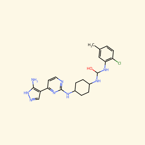 Cc1ccc(Cl)c(NC(O)NC2CCC(Nc3nccc(-c4cn[nH]c4N)n3)CC2)c1